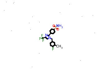 Cc1cc(Cn2cc(C(F)(F)F)nc2-c2ccc(S(N)(=O)=O)cc2)ccc1F